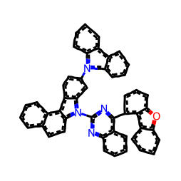 c1ccc2c(c1)ccc1c2c2ccc(-n3c4ccccc4c4ccccc43)cc2n1-c1nc(-c2cccc3oc4ccccc4c23)c2ccccc2n1